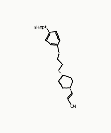 CCCCCCCc1ccc(CCCC[C@H]2CC[C@H](C=CC#N)CC2)cc1